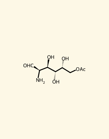 CC(=O)OC[C@@H](O)[C@H](O)[C@H](O)[C@@H](N)C=O